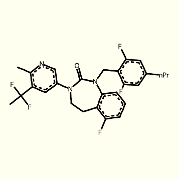 CCCc1cc(F)c(CN2C(=O)N(c3cnc(C)c(C(C)(F)F)c3)CCc3c(F)cccc32)c(F)c1